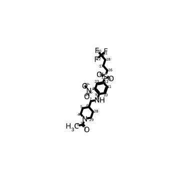 CC(=O)N1CCC(CNc2ccc(S(=O)(=O)CCCC(F)(F)F)cc2[N+](=O)[O-])CC1